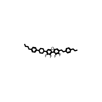 CCCCc1ccc(C2CCC(c3cc4oc5cc(CCc6ccc(CCC)cc6)c(F)c(F)c5c4c(F)c3F)CC2)cc1